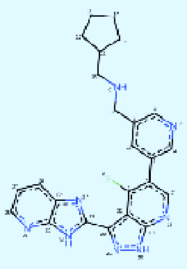 Fc1c(-c2cncc(CNCC3CCCC3)c2)cnc2[nH]nc(-c3nc4cccnc4[nH]3)c12